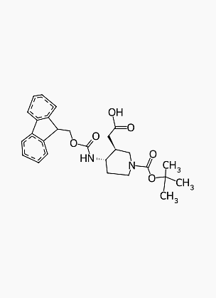 CC(C)(C)OC(=O)N1CC[C@H](NC(=O)OCC2c3ccccc3-c3ccccc32)[C@@H](CC(=O)O)C1